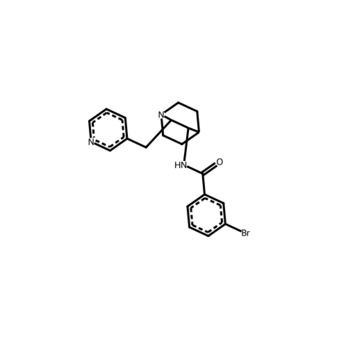 O=C(NC1C2CCN(CC2)C1Cc1cccnc1)c1cccc(Br)c1